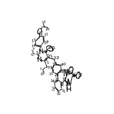 CCCc1nc(CC)n(-c2ccc(OC(C)C)cc2)c(=O)c1Cc1ccc(-c2ccccc2-c2noc(=O)[nH]2)cc1